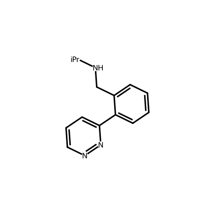 CC(C)NCc1ccccc1-c1cccnn1